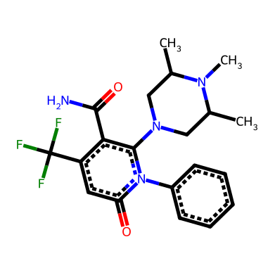 CC1CN(c2c(C(N)=O)c(C(F)(F)F)cc(=O)n2-c2ccccc2)CC(C)N1C